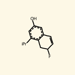 CC(C)c1cc(O)cc2c1CC(F)C=C2